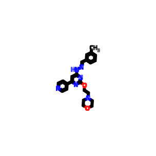 Cc1cccc(/C=N/Nc2cc(-c3ccncc3)nc(OCCN3CCOCC3)n2)c1